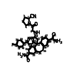 N#C[C@@H]1CCCN1C(=O)CNCCC1(c2nnc(-c3ccc(F)cc3)o2)c2ccc(C(N)=O)cc2CCc2cc(C(N)=O)ccc21